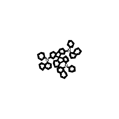 c1ccc(N(c2ccc3c(c2)C2(c4cc(N(c5ccccc5)c5cccc6ccccc56)ccc4-3)c3ccccc3-c3c(N(c4ccccc4)c4cccc5ccccc45)cccc32)c2cccc3ccccc23)cc1